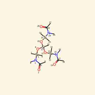 CC(=O)N(C)[Si](C)(C)O[Si](C)(O[Si](C)(C)N(C)C(C)=O)O[Si](C)(C)N(C)C(C)=O